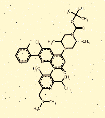 Cc1cc(CN(C)C)nc(C(C)C)c1-n1c(=O)nc(N2C[C@@H](C)N(C(=O)OC(C)(C)C)C[C@@H]2C)c2cc(Cl)c(-c3ccccc3F)nc21